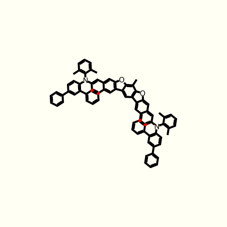 Cc1cccc(C)c1N(c1ccc2cc3c(cc2c1)oc1c(C)c2oc4cc5cc(N(c6ccc(-c7ccccc7)cc6-c6ccccc6)c6c(C)cccc6C)ccc5cc4c2cc13)c1ccc(-c2ccccc2)cc1-c1ccccc1